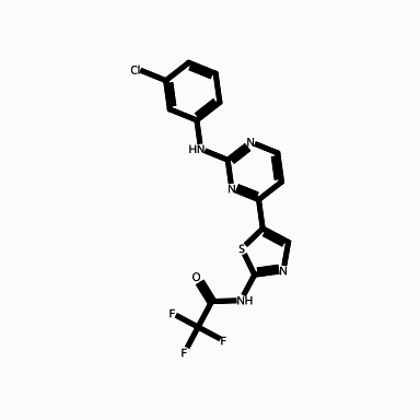 O=C(Nc1ncc(-c2ccnc(Nc3cccc(Cl)c3)n2)s1)C(F)(F)F